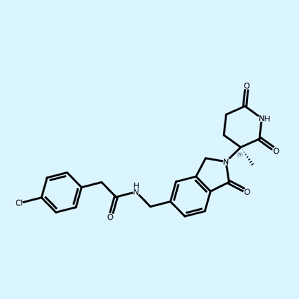 C[C@]1(N2Cc3cc(CNC(=O)Cc4ccc(Cl)cc4)ccc3C2=O)CCC(=O)NC1=O